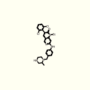 CCn1c(=O)c(-c2c(Cl)cccc2Cl)cc2cnc(Nc3ccc(CN4CCNCC4C)cc3)cc21